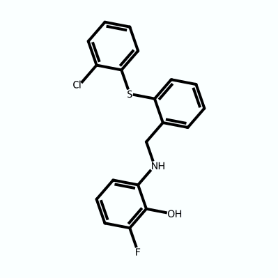 Oc1c(F)cccc1NCc1ccccc1Sc1ccccc1Cl